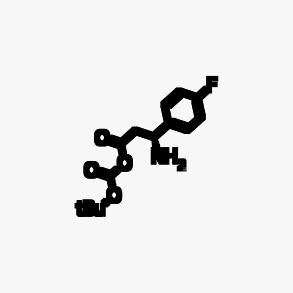 CC(C)(C)OC(=O)OC(=O)C[C@H](N)c1ccc(F)cc1